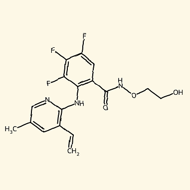 C=Cc1cc(C)cnc1Nc1c(C(=O)NOCCO)cc(F)c(F)c1F